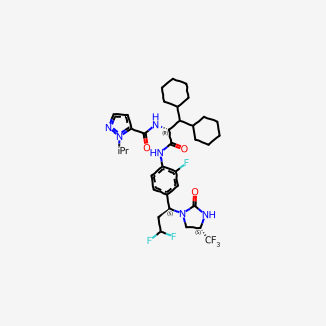 CC(C)n1nccc1C(=O)N[C@@H](C(=O)Nc1ccc([C@H](CC(F)F)N2C[C@@H](C(F)(F)F)NC2=O)cc1F)C(C1CCCCC1)C1CCCCC1